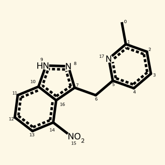 Cc1cccc(Cc2n[nH]c3cccc([N+](=O)[O-])c23)n1